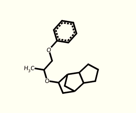 CC(COc1ccccc1)OC1CC2CC1C1CCCC21